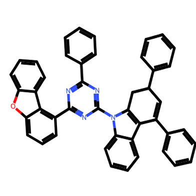 C1=C(c2ccccc2)c2c(n(-c3nc(-c4ccccc4)nc(-c4cccc5oc6ccccc6c45)n3)c3ccccc23)CC1c1ccccc1